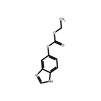 CCOC(=O)Oc1ccc2[nH]cnc2c1